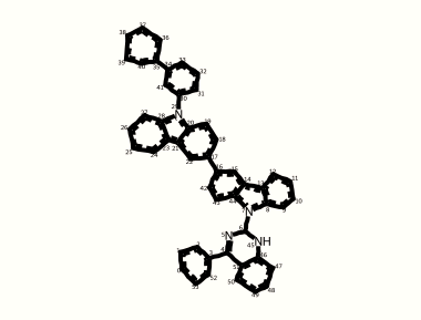 c1ccc(C2=NC(n3c4ccccc4c4cc(-c5ccc6c(c5)c5ccccc5n6-c5cccc(-c6ccccc6)c5)ccc43)Nc3ccccc32)cc1